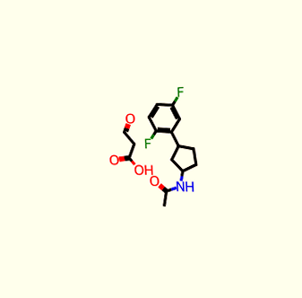 CC(=O)NC1CCC(c2cc(F)ccc2F)C1.O=CCC(=O)O